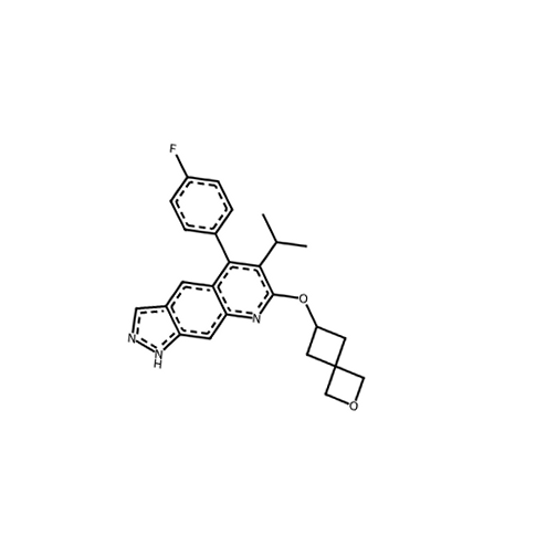 CC(C)c1c(OC2CC3(COC3)C2)nc2cc3[nH]ncc3cc2c1-c1ccc(F)cc1